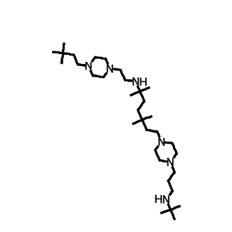 CC(C)(C)CCN1CCN(CCNC(C)(C)CCC(C)(C)CCN2CCN(CCCNC(C)(C)C)CC2)CC1